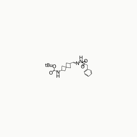 CC(C)(C)OC(=O)NC1CC2(CC(C=NNS(=O)(=O)Cc3ccccc3)C2)C1